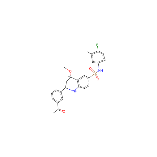 CCO[C@H]1CC(c2cccc(C(C)=O)c2)Nc2ccc(S(=O)(=O)Nc3ccc(F)c(C)c3)cc21